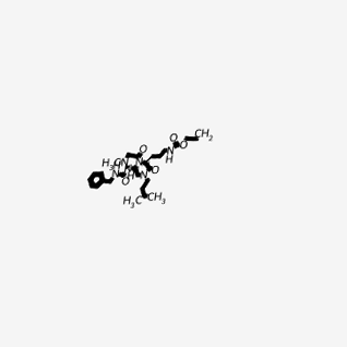 C=CCOC(=O)NCCC[C@H]1C(=O)N(CCC(C)C)C[C@H]2N1C(=O)CN(C)N2C(=O)NCc1ccccc1